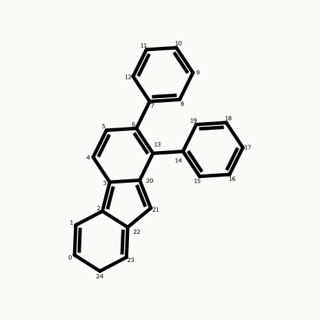 C1=CC2=c3ccc(-c4ccccc4)c(-c4ccccc4)c3=CC2=CC1